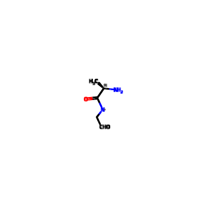 C[C@@H](N)C(=O)[N]CC=O